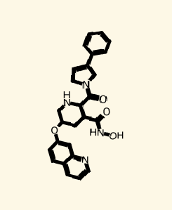 O=C(NO)C1CC(Oc2ccc3cccnc3c2)CNC1C(=O)N1CC=C(c2ccccc2)C1